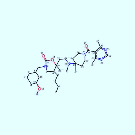 CCCCC1CN(CC2CCC[C@H](OC)C2)C(=O)OC12CCN(C1(C)CCN(C(=O)c3c(C)ncnc3C)CC1)CC2